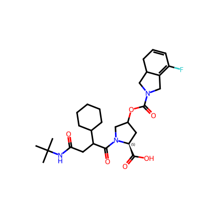 CC(C)(C)NC(=O)CC(C(=O)N1CC(OC(=O)N2CC3=C(F)C=CCC3C2)C[C@H]1C(=O)O)C1CCCCC1